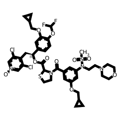 CS(=O)(=O)N(CCN1CCOCC1)c1cc(OCC2CC2)cc(C(=O)N2CCSC2C(=O)O[C@@H](Cc2c(Cl)c[n+]([O-])cc2Cl)c2ccc(OC(F)F)c(OCC3CC3)c2)c1